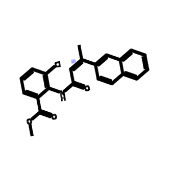 COC(=O)c1cccc(Cl)c1NC(=O)/C=C(/C)c1ccc2ccccc2c1